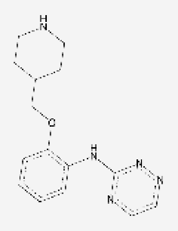 c1ccc(OCC2CCNCC2)c(Nc2nccnn2)c1